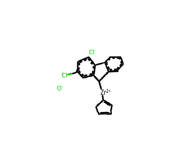 Clc1ccc2c(c1)[CH]([Zr+2][C]1=CC=CC1)c1ccccc1-2.[Cl-].[Cl-]